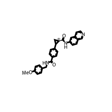 COc1ccc(CNC(=O)c2ccc(C3C[C@H]3C(=O)Nc3ccc4cnccc4c3)cc2)cc1